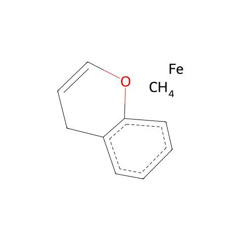 C.C1=COc2ccccc2C1.[Fe]